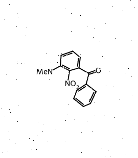 CNc1cccc(C(=O)c2ccccc2)c1[N+](=O)[O-]